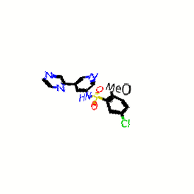 COc1ccc(Cl)cc1S(=O)(=O)Nc1cncc(-c2cnccn2)c1